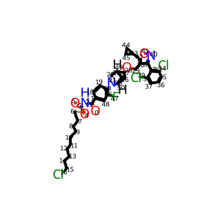 O=C(NS(=O)(=O)CCCCCCCCCCCl)c1ccc(N2C[C@@H]3C[C@H]2C[C@H]3OCc2c(-c3c(Cl)cccc3Cl)noc2C2CC2)c(F)c1